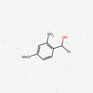 CCC(O)c1ccc(OC)cc1[N+](=O)[O-]